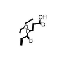 C=CC(=O)OCCC(=O)O.CCOCC